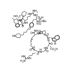 CC1CNc2c(cccc2S(=O)(=O)NC(CCCNC(=N)N)C(=O)N2CC[C@@H](C)C[C@@H]2C(=O)O)C1.CCCCS(=O)(=O)N[C@@H](Cc1ccc(OCCCCC2CCNCC2)cc1)C(=O)O.N=C(N)NCCCC[C@@H]1NC(=O)CCSSC[C@@H](C(N)=O)NC(=O)[C@@H]2CCCN2C(=O)[C@H](Cc2c[nH]c3ccccc23)NC(=O)[C@H](CC(=O)O)NC(=O)CNC1=O